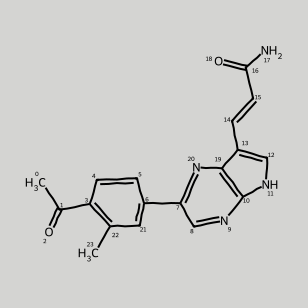 CC(=O)c1ccc(-c2cnc3[nH]cc(C=CC(N)=O)c3n2)cc1C